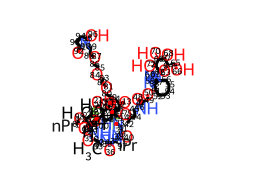 CCCC1O[C@@H]2C[C@H]3[C@@H]4C[C@H](F)C5=CC(=O)C=C[C@]5(C)[C@@]4(F)[C@@H](O)C[C@]3(C)[C@]2(C(=O)CNC(=O)[C@H](C)NC(=O)[C@@H](NC(=O)[C@@H](CCCCNC(=O)COC2CCCCCc3c2nnn3[C@@H]2O[C@H](CO)[C@H](O)[C@H](O)[C@H]2O)NC(=O)CCOCCOCCOCCOCCN2C(=O)C=CC2O)C(C)C)O1